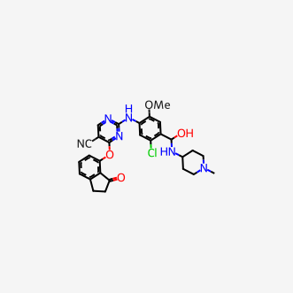 COc1cc(C(O)NC2CCN(C)CC2)c(Cl)cc1Nc1ncc(C#N)c(Oc2cccc3c2C(=O)CC3)n1